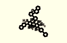 Bc1c(B)c(N(c2cccc(-c3cccc4oc5c6ccccc6ccc5c34)c2)c2c(B)c(B)c(-c3ccc4ccccc4c3)c(B)c2B)c(B)c(B)c1-c1ccc(-c2ccccc2)cc1